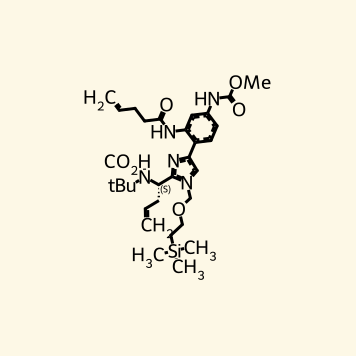 C=CCCC(=O)Nc1cc(NC(=O)OC)ccc1-c1cn(COCC[Si](C)(C)C)c([C@H](CC=C)N(C(=O)O)C(C)(C)C)n1